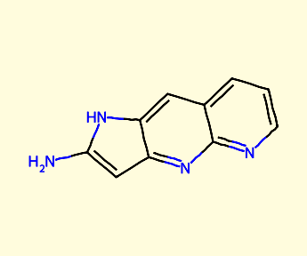 Nc1cc2nc3ncccc3cc2[nH]1